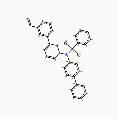 C=Cc1cccc(C2=CC=CC(N(c3ccc(-c4ccccc4)cc3)C(CC)(CC)c3ccccc3)C2)c1